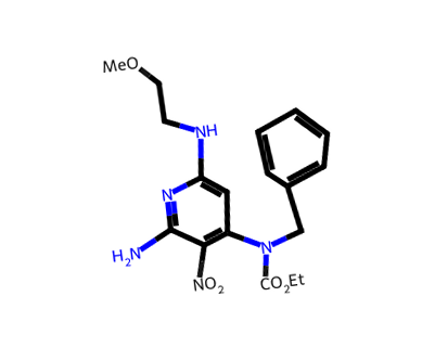 CCOC(=O)N(Cc1ccccc1)c1cc(NCCOC)nc(N)c1[N+](=O)[O-]